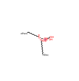 CCCCC/C=C\CCCCCCCC(=O)OC[C@H](COP(=O)(O)OC[C@@H](O)CO)OC(=O)CCCCCCCCCCCCCCCCCCCCC